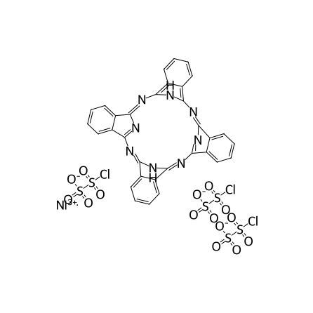 O=S(=O)([O-])S(=O)(=O)Cl.O=S(=O)([O-])S(=O)(=O)Cl.O=S(=O)([O-])S(=O)(=O)Cl.[Ni+3].c1ccc2c(c1)-c1nc-2nc2[nH]c(nc3nc(nc4[nH]c(n1)c1ccccc41)-c1ccccc1-3)c1ccccc21